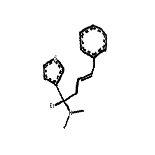 CCC(CC=Cc1ccccc1)(c1ccsc1)N(C)C